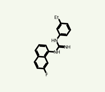 CCc1cccc(NC(=N)Nc2cccc3ccc(F)cc23)c1